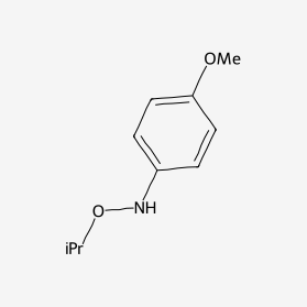 COc1ccc(NOC(C)C)cc1